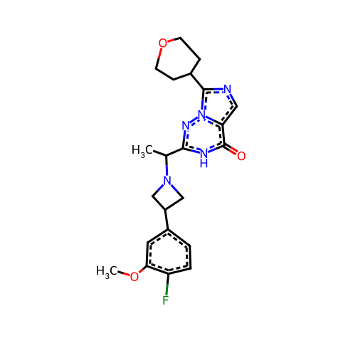 COc1cc(C2CN(C(C)c3nn4c(C5CCOCC5)ncc4c(=O)[nH]3)C2)ccc1F